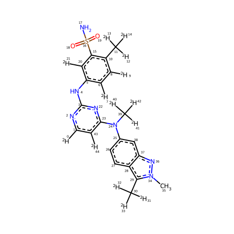 [2H]c1nc(Nc2c([2H])c([2H])c(C([2H])([2H])[2H])c(S(N)(=O)=O)c2[2H])nc(N(c2ccc3c(C([2H])([2H])[2H])n(C)nc3c2)C([2H])([2H])[2H])c1[2H]